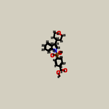 COC(=O)c1ccc(S(=O)(=O)n2cc(C3CCOCC3)c3ccccc32)cc1